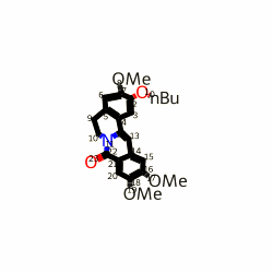 CCCCOc1cc2c(cc1OC)CCn1c-2cc2cc(OC)c(OC)cc2c1=O